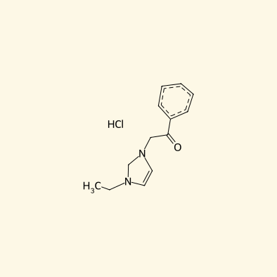 CCN1C=CN(CC(=O)c2ccccc2)C1.Cl